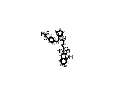 O=C(CCc1nc2cccnc2n1Cc1ccc(OC(F)F)cc1)N[C@H](Cc1ccccc1)C(=O)O